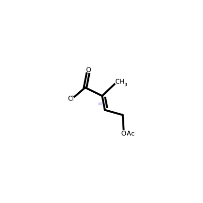 CC(=O)OC/C=C(\C)C(=O)Cl